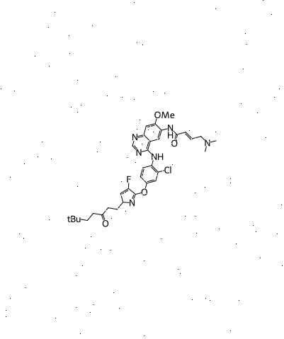 COc1cc2ncnc(Nc3ccc(OC4=NC(CCC(=O)CCC(C)(C)C)C=C4F)cc3Cl)c2cc1NC(=O)/C=C/CN(C)C